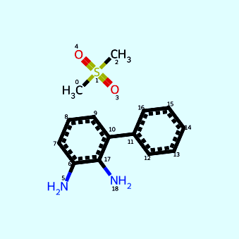 CS(C)(=O)=O.Nc1cccc(-c2ccccc2)c1N